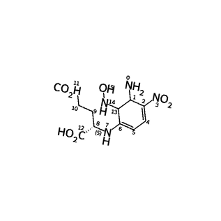 NC1C([N+](=O)[O-])=CC=C(N[C@@H](CCC(=O)O)C(=O)O)C1NO